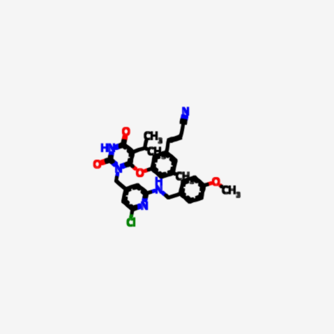 COc1ccc(CNc2cc(Cn3c(Oc4cc(C)cc(C=CC#N)c4)c(C(C)C)c(=O)[nH]c3=O)cc(Cl)n2)cc1